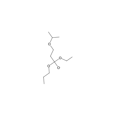 CCCOC([O])(CCOC(C)C)OCC